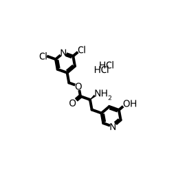 Cl.Cl.N[C@@H](Cc1cncc(O)c1)C(=O)OCc1cc(Cl)nc(Cl)c1